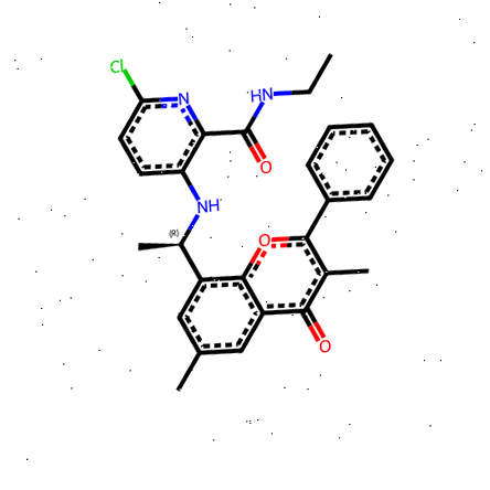 CCNC(=O)c1nc(Cl)ccc1N[C@H](C)c1cc(C)cc2c(=O)c(C)c(-c3ccccc3)oc12